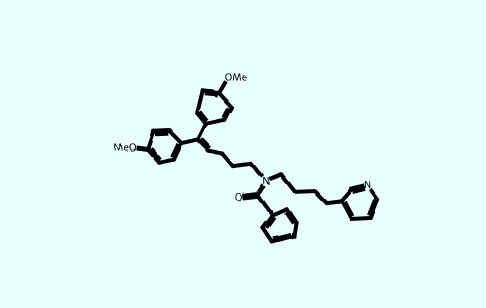 COc1ccc(C(=CCCCN(CCCCc2cccnc2)C(=O)c2ccccc2)c2ccc(OC)cc2)cc1